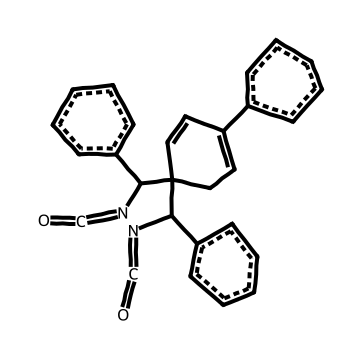 O=C=NC(c1ccccc1)C1(C(N=C=O)c2ccccc2)C=CC(c2ccccc2)=CC1